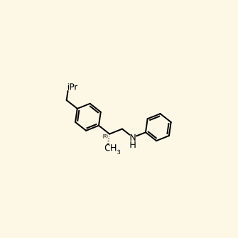 CC(C)Cc1ccc([C@@H](C)CNc2ccccc2)cc1